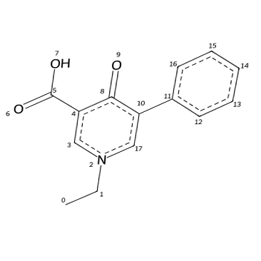 CCn1cc(C(=O)O)c(=O)c(-c2ccccc2)c1